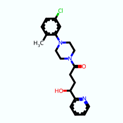 Cc1ccc(Cl)cc1N1CCN(C(=O)CCC(O)c2ccccn2)CC1